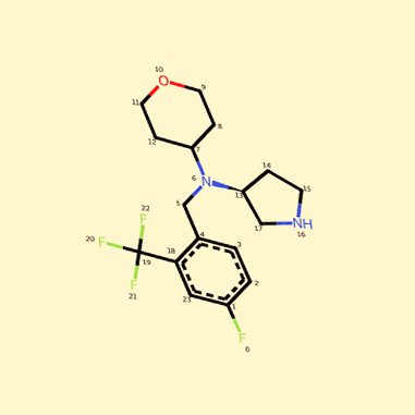 Fc1ccc(CN(C2CCOCC2)[C@H]2CCNC2)c(C(F)(F)F)c1